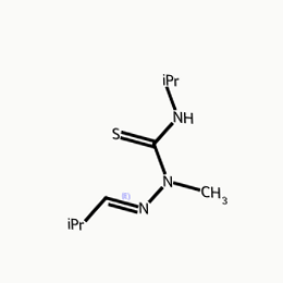 CC(C)/C=N/N(C)C(=S)NC(C)C